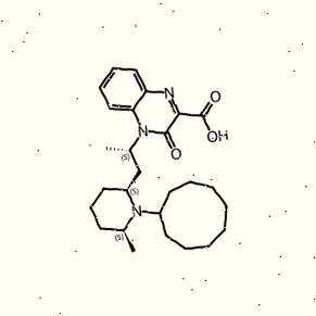 C[C@H]1CCC[C@@H](C[C@H](C)n2c(=O)c(C(=O)O)nc3ccccc32)N1C1CCCCCCCC1